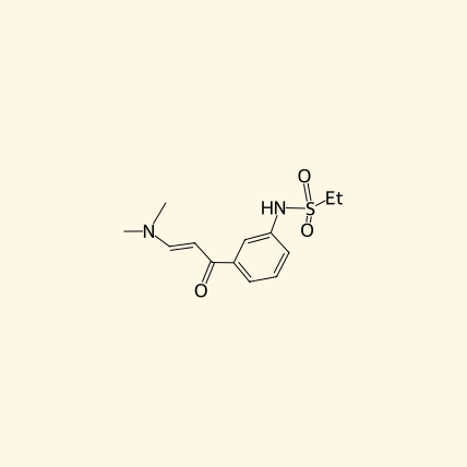 CCS(=O)(=O)Nc1cccc(C(=O)C=CN(C)C)c1